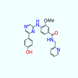 COc1cc(C(=O)NCc2ccccn2)ccc1Nc1cncc(-c2ccc(O)cc2)n1